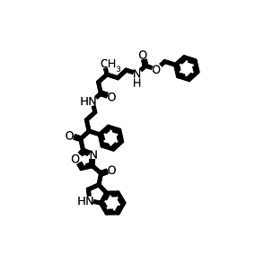 CC(CCNC(=O)OCc1ccccc1)CC(=O)NCCC(C(=O)c1nc(C(=O)C2CNc3ccccc32)co1)c1ccccc1